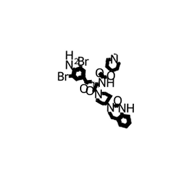 CN1CCC(OC(=O)N[C@@H](CC(=O)c2cc(Br)c(N)c(Br)c2)C(=O)N2CCC(N3CCc4ccccc4NC3=O)CC2)CC1